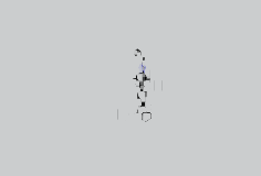 CC(CC(=O)N1CCC(O)(Cn2cnc(/C=C/CN3CCCC3)cc2=O)CC1)c1ccccc1